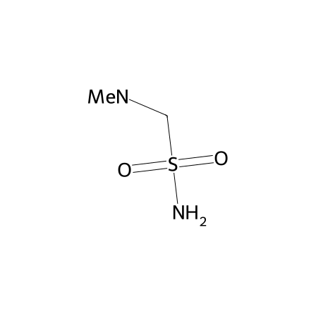 CNCS(N)(=O)=O